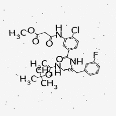 C=C(NC[C@H](Cc1cccc(F)c1)NC(=O)c1ccc(Cl)c(NC(=O)CC(=O)OC)c1)OC(C)(C)C